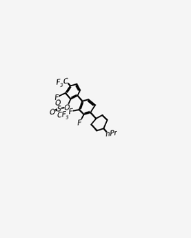 CCCC1CCC(c2ccc(-c3ccc(C(F)(F)F)c(F)c3OS(=O)(=O)C(F)(F)F)c(F)c2F)CC1